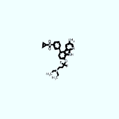 [CH2]CN(CC)CCC(F)(F)Oc1ccc(-c2cccc(S(=O)(=O)C3CC3)c2)c2c1[nH]c1ncc(C)cc12